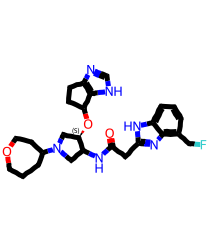 O=C(Cc1nc2c(CF)cccc2[nH]1)NC1CN(C2CCCOCC2)C[C@@H]1OC1CCc2nc[nH]c21